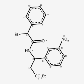 CCOC(=O)CC(NC(=O)C(CC)c1ccccc1)c1cccc([N+](=O)[O-])c1